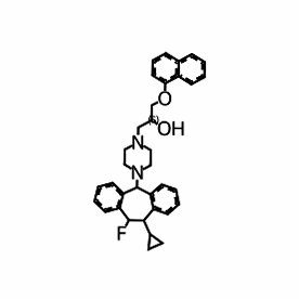 O[C@H](COc1cccc2ccccc12)CN1CCN(C2c3ccccc3C(F)C(C3CC3)c3ccccc32)CC1